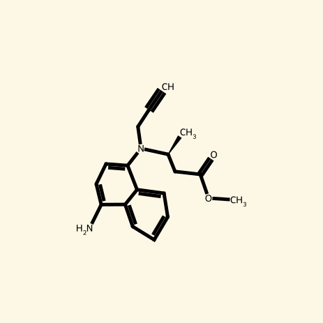 C#CCN(c1ccc(N)c2ccccc12)[C@@H](C)CC(=O)OC